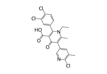 CCn1c(C)c(-c2cnc(Cl)c(C)c2)c(=O)c(C(=O)O)c1-c1ccc(Cl)c(Cl)c1